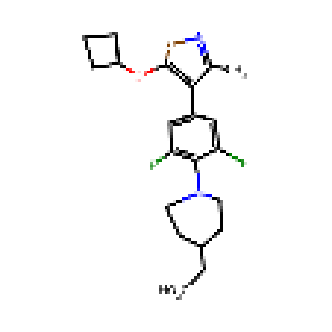 Cc1nsc(OC2CCC2)c1-c1cc(F)c(N2CCC(CC(=O)O)CC2)c(F)c1